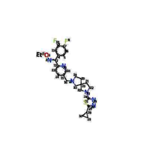 CCON=C(c1ccc(F)c(F)c1)c1ccc(CN2CCC3(CCN(c4nnc(C5CC5)s4)C3)C2)cn1